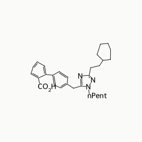 CCCCCn1nc(CCC2CCCCC2)nc1Cc1ccc(-c2ccccc2C(=O)O)cc1